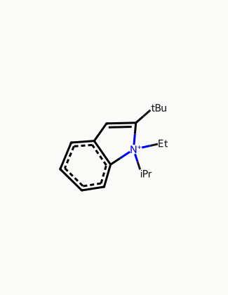 CC[N+]1(C(C)C)C(C(C)(C)C)=Cc2ccccc21